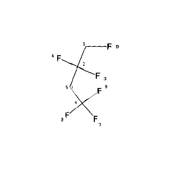 FCC(F)(F)[C]C(F)(F)F